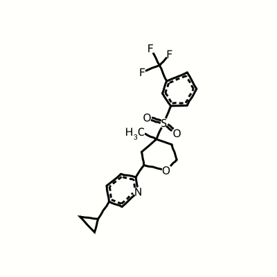 CC1(S(=O)(=O)c2cccc(C(F)(F)F)c2)CCOC(c2ccc(C3CC3)cn2)C1